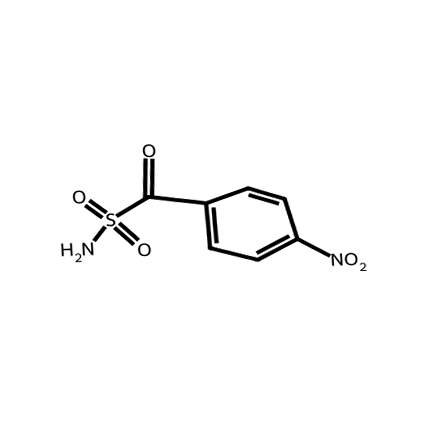 NS(=O)(=O)C(=O)c1ccc([N+](=O)[O-])cc1